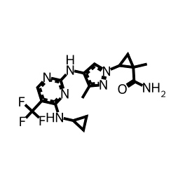 Cc1nn(C2CC2(C)C(N)=O)cc1Nc1ncc(C(F)(F)F)c(NC2CC2)n1